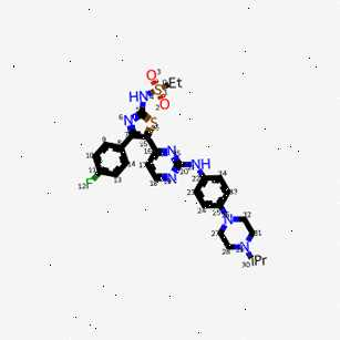 CCS(=O)(=O)Nc1nc(-c2ccc(F)cc2)c(-c2ccnc(Nc3ccc(N4CCN(C(C)C)CC4)cc3)n2)s1